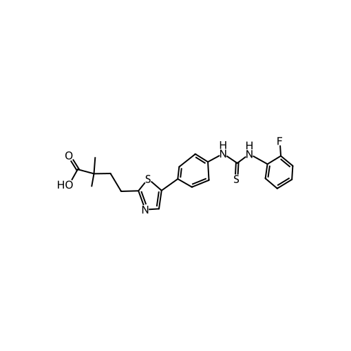 CC(C)(CCc1ncc(-c2ccc(NC(=S)Nc3ccccc3F)cc2)s1)C(=O)O